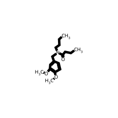 CCCCN(Cc1ccc(OC)c(OC)c1)C(=O)CCC